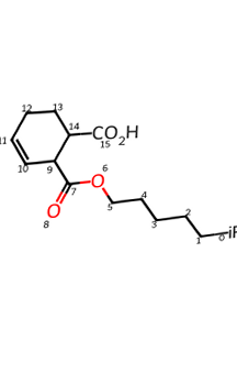 CC(C)CCCCCOC(=O)C1C=CCCC1C(=O)O